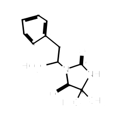 CC1(C)NC(=O)N(C(Cc2ccccc2)C(=O)O)C1=O